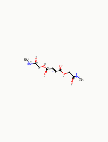 CCNC(=O)COC(=O)/C=C/C(=O)OCC(=O)NCC